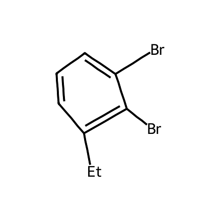 CCc1cccc(Br)c1Br